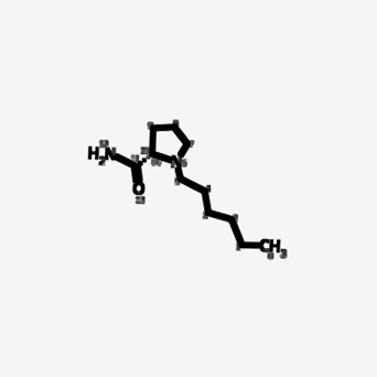 CCCCCCN1CCC[C@H]1C(N)=O